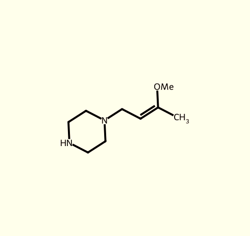 CO/C(C)=C\CN1CCNCC1